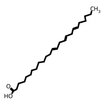 CCCCCC=CCC=CCC=CCCCCCCCCCCCC(=O)O